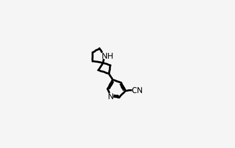 N#Cc1cncc(C2CC3(CCCN3)C2)c1